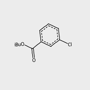 CC(C)COC(=O)c1cccc(Cl)c1